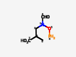 CC(CN(C=O)OP)C(=O)O